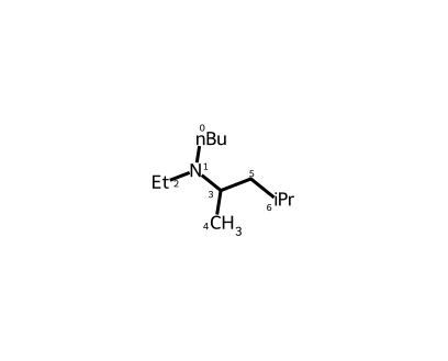 CCCCN(CC)C(C)CC(C)C